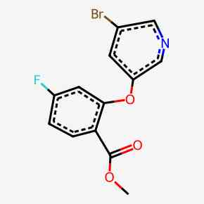 COC(=O)c1ccc(F)cc1Oc1cncc(Br)c1